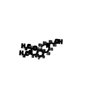 CC(=O)N(C)Cc1ccc2c(c1)CCN(CCO)CC2